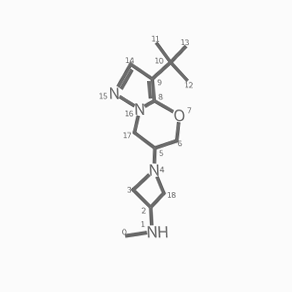 CNC1CN(C2COc3c(C(C)(C)C)cnn3C2)C1